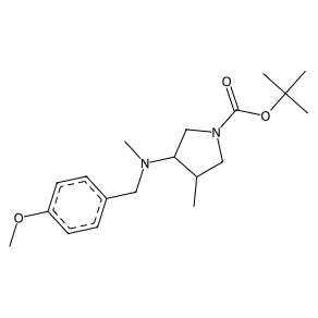 COc1ccc(CN(C)C2CN(C(=O)OC(C)(C)C)CC2C)cc1